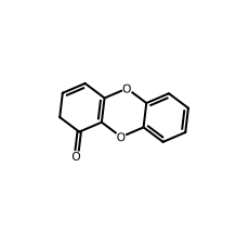 O=C1CC=CC2=C1Oc1ccccc1O2